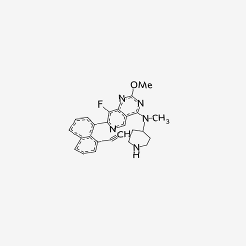 C#Cc1cccc2cccc(-c3ncc4c(N(C)C5CCNCC5)nc(OC)nc4c3F)c12